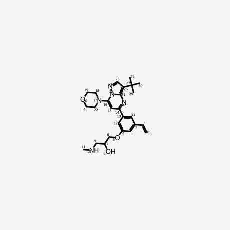 C=Cc1cc(OCC(O)CNC)cc(-c2cc(N3CCOCC3)n3ncc(C(C)(C)C)c3n2)c1